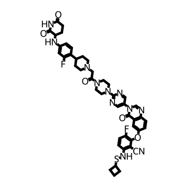 N#Cc1c(NSC2CCC2)ccc(F)c1Oc1ccc2ncn(-c3cnc(N4CCN(C(=O)CN5CCC(c6ccc(NC7CCC(=O)NC7=O)cc6F)CC5)CC4)nc3)c(=O)c2c1